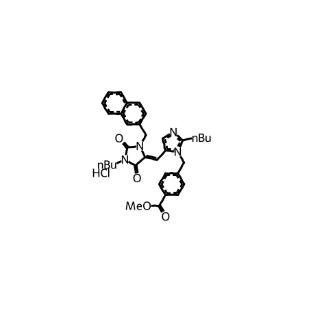 CCCCc1ncc(/C=C2/C(=O)N(CCCC)C(=O)N2Cc2ccc3ccccc3c2)n1Cc1ccc(C(=O)OC)cc1.Cl